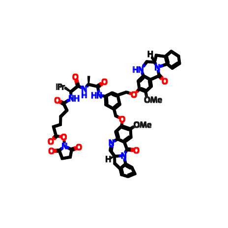 COc1cc2c(cc1OCc1cc(COc3cc4c(cc3OC)C(=O)N3C5=C(CCC=C5)C[C@H]3CN4)cc(NC(=O)[C@H](C)NC(=O)[C@@H](NC(=O)CCCCC(=O)ON3C(=O)CCC3=O)C(C)C)c1)N=C[C@@H]1Cc3ccccc3N1C2=O